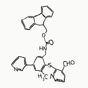 Cc1cc(-c2cccnc2)cc(CNC(=O)OCC2c3ccccc3-c3ccccc32)c1Sc1ncccc1C=O